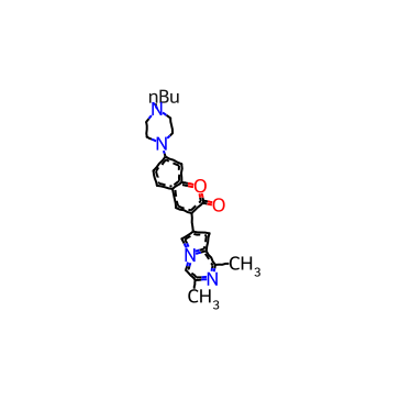 CCCCN1CCN(c2ccc3cc(-c4cc5c(C)nc(C)cn5c4)c(=O)oc3c2)CC1